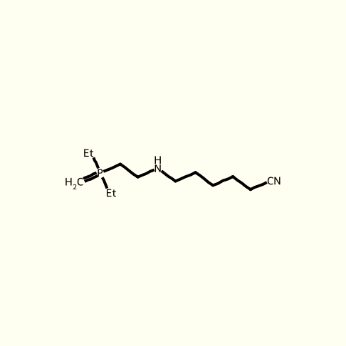 C=P(CC)(CC)CCNCCCCCC#N